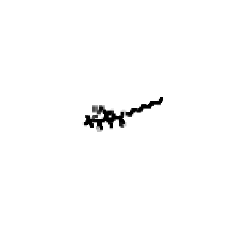 CCCCCCCCOC(=O)c1sc(N)c(C(=O)OC(C)(C)C)c1C